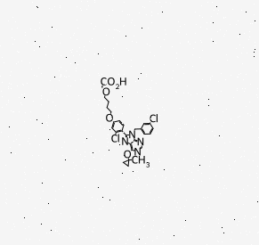 CC1(Oc2ncnc3c2nc(-c2ccc(OCCCCOCC(=O)O)cc2Cl)n3Cc2cccc(Cl)c2)CC1